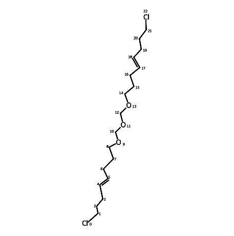 ClCCCC=CCCCOCOCOCCCC=CCCCCl